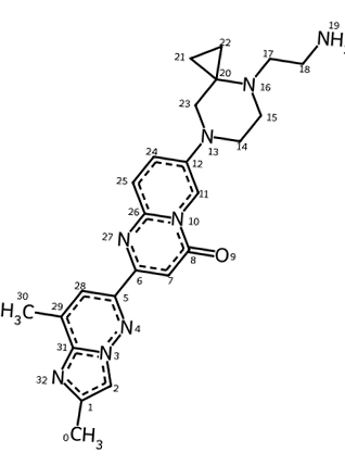 Cc1cn2nc(-c3cc(=O)n4cc(N5CCN(CCN)C6(CC6)C5)ccc4n3)cc(C)c2n1